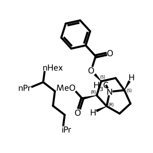 CCCCCCC(CCC)CCCC(C)C.COC(=O)[C@H]1[C@@H](OC(=O)c2ccccc2)C[C@@H]2CC[C@H]1N2C